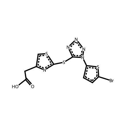 O=C(O)Cc1csc(Sc2nnnn2-c2ccc(Br)s2)n1